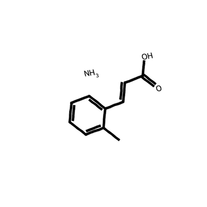 Cc1ccccc1/C=C/C(=O)O.N